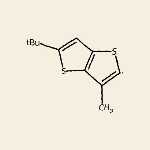 Cc1[c]sc2cc(C(C)(C)C)sc12